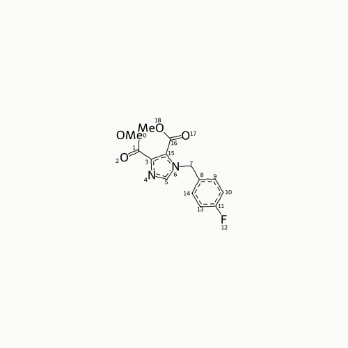 COC(=O)c1ncn(Cc2ccc(F)cc2)c1C(=O)OC